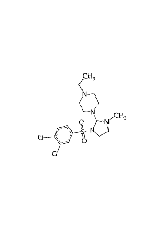 CCN1CCN(C2N(C)CCN2S(=O)(=O)c2ccc(Cl)c(Cl)c2)CC1